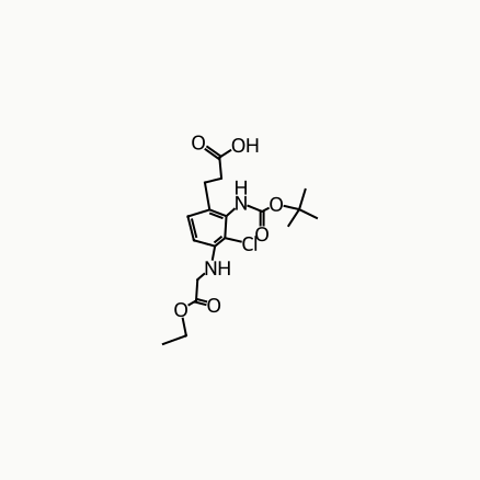 CCOC(=O)CNc1ccc(CCC(=O)O)c(NC(=O)OC(C)(C)C)c1Cl